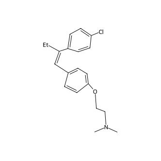 CCC(=Cc1ccc(OCCN(C)C)cc1)c1ccc(Cl)cc1